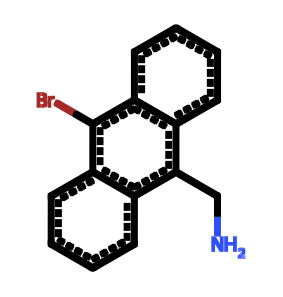 NCc1c2ccccc2c(Br)c2ccccc12